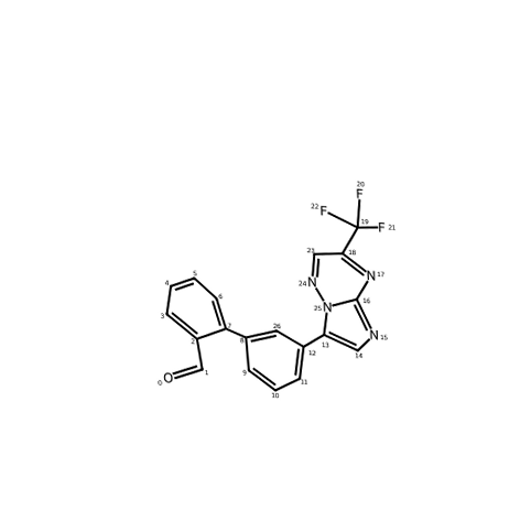 O=Cc1ccccc1-c1cccc(-c2cnc3nc(C(F)(F)F)cnn23)c1